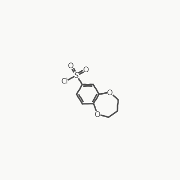 O=S(=O)(Cl)c1ccc2c(c1)OCCCO2